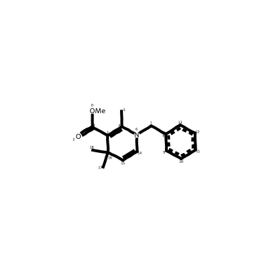 COC(=O)C1=C(C)N(Cc2ccccc2)C=CC1(C)C